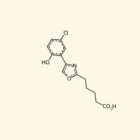 O=C(O)CCCCc1nc(-c2cc(Cl)ccc2O)co1